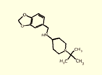 CC(C)(C)N1CCC(NCc2ccc3c(c2)OCO3)CC1